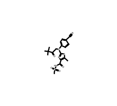 Cc1sc(N(CC(=O)C(C)(C)C)c2ccc(C#N)cc2)nc1C(=O)NS(C)(=O)=O